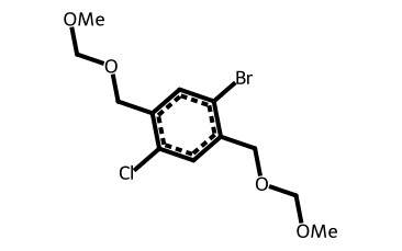 COCOCc1cc(Br)c(COCOC)cc1Cl